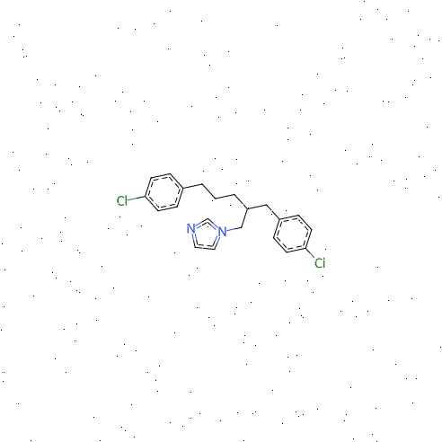 Clc1ccc(CCCC(Cc2ccc(Cl)cc2)Cn2ccnc2)cc1